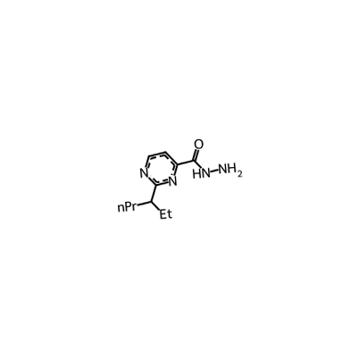 CCCC(CC)c1nccc(C(=O)NN)n1